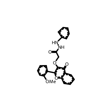 COc1ccccc1-c1oc2ccccc2c(=O)c1OCC(=O)NNc1ccccc1